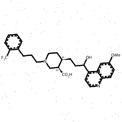 COc1ccc2nccc(C(O)CC[C@@H]3CCN(CCCc4ccccc4C(F)(F)F)C[C@@H]3C(=O)O)c2c1